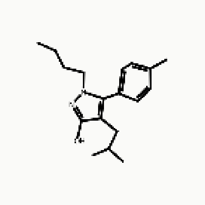 CCCCn1nc(O)c(CC(C)C)c1-c1ccc(C)cc1